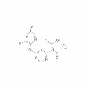 O=C(O)N(C(=O)C1CC1)c1cc(Oc2ncc(Br)cc2F)ccn1